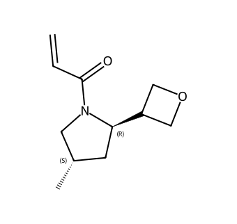 C=CC(=O)N1C[C@@H](C)C[C@@H]1C1COC1